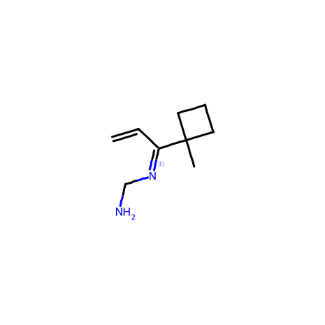 C=C/C(=N\CN)C1(C)CCC1